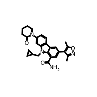 Cc1noc(C)c1-c1cc(C(N)=O)c2c(c1)c1ccc(N3CCCCC3=O)cc1n2CC1CC1